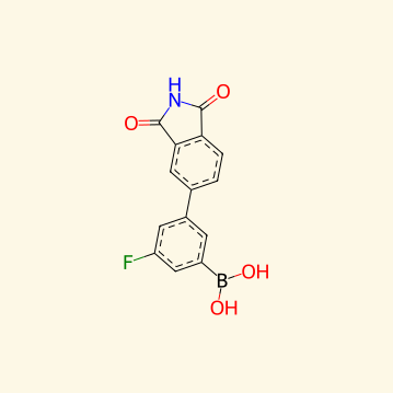 O=C1NC(=O)c2cc(-c3cc(F)cc(B(O)O)c3)ccc21